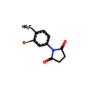 O=C(O)c1ccc(N2C(=O)CCC2=O)cc1Br